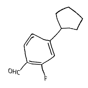 O=Cc1ccc(C2CCCC2)cc1F